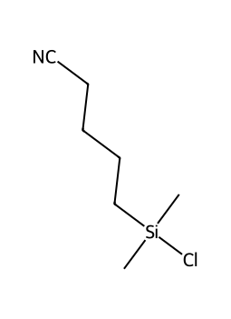 C[Si](C)(Cl)CCCCC#N